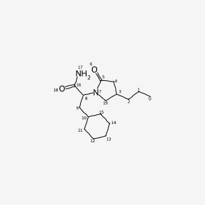 CCCC1CC(=O)N(C(CC2CCCCC2)C(N)=O)C1